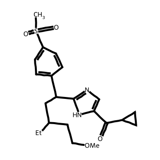 CCC(CCOC)CC(c1ccc(S(C)(=O)=O)cc1)c1ncc(C(=O)C2CC2)[nH]1